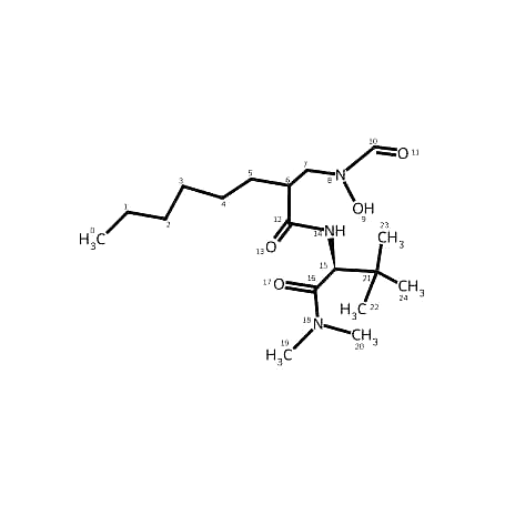 CCCCCCC(CN(O)C=O)C(=O)N[C@H](C(=O)N(C)C)C(C)(C)C